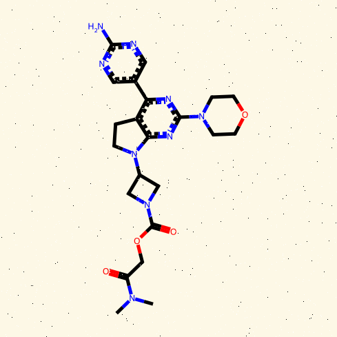 CN(C)C(=O)COC(=O)N1CC(N2CCc3c(-c4cnc(N)nc4)nc(N4CCOCC4)nc32)C1